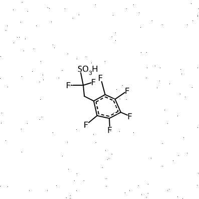 O=S(=O)(O)C(F)(F)Cc1c(F)c(F)c(F)c(F)c1F